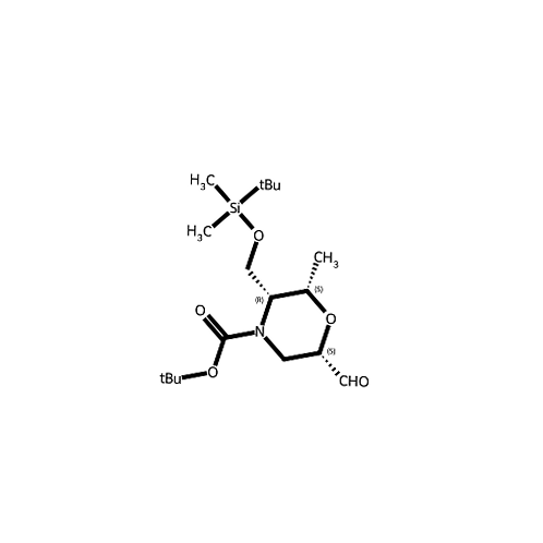 C[C@@H]1O[C@H](C=O)CN(C(=O)OC(C)(C)C)[C@@H]1CO[Si](C)(C)C(C)(C)C